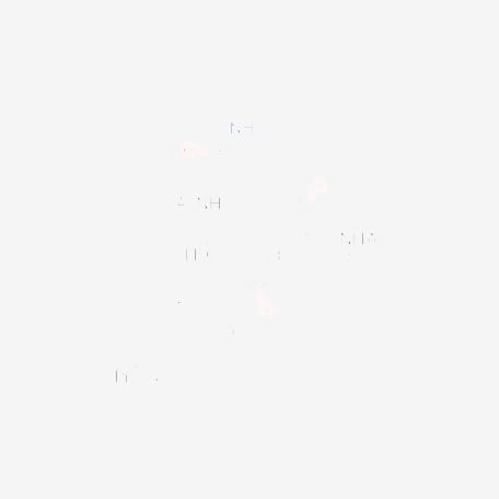 CC(=O)NC(CSC(=O)C(CSC(=O)[C@@H](C)c1ccc(CC(C)C)cc1)NC(C)=O)C(N)=O